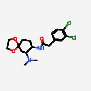 CN(C)C1CC2(CCC1NC(=O)Cc1ccc(Cl)c(Cl)c1)OCCO2